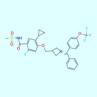 CS(=O)(=O)NC(=O)c1cc(C2CC2)c(OCC2CN([C@@H](c3ccccc3)c3ccc(OC(F)(F)F)cc3)C2)cc1F